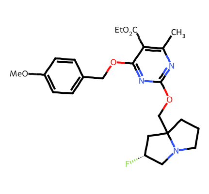 CCOC(=O)c1c(C)nc(OCC23CCCN2C[C@H](F)C3)nc1OCc1ccc(OC)cc1